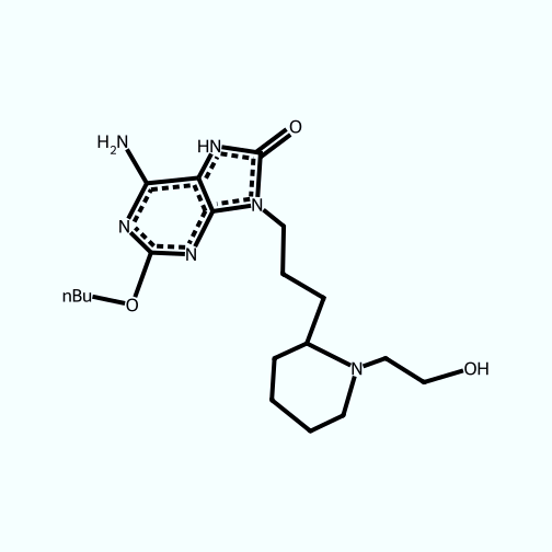 CCCCOc1nc(N)c2[nH]c(=O)n(CCCC3CCCCN3CCO)c2n1